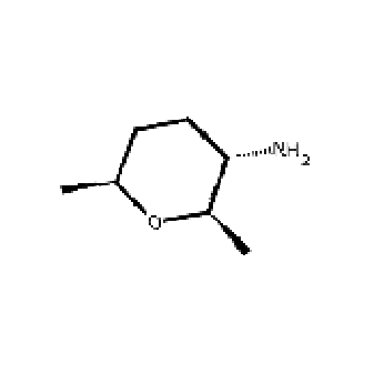 C[C@H]1CC[C@H](N)[C@@H](C)O1